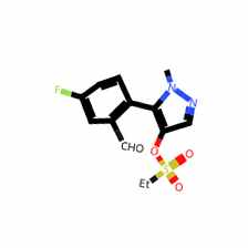 CCS(=O)(=O)Oc1cnn(C)c1-c1ccc(F)cc1C=O